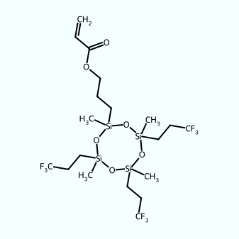 C=CC(=O)OCCC[Si]1(C)O[Si](C)(CCC(F)(F)F)O[Si](C)(CCC(F)(F)F)O[Si](C)(CCC(F)(F)F)O1